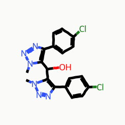 Cn1nnc(-c2ccc(Cl)cc2)c1C(O)c1c(-c2ccc(Cl)cc2)nnn1C